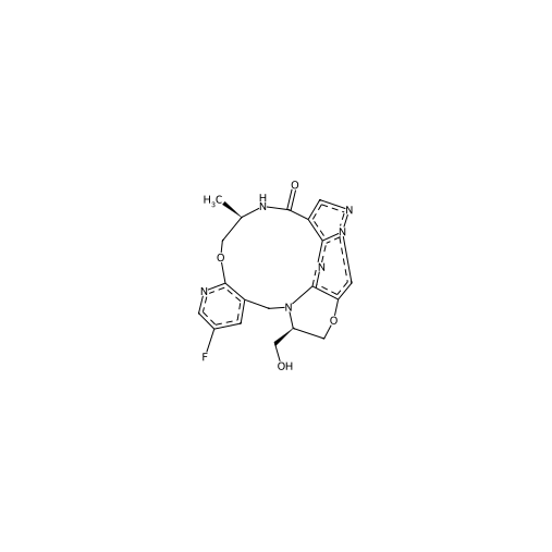 C[C@@H]1COc2ncc(F)cc2CN2c3nc4c(cnn4cc3OC[C@H]2CO)C(=O)N1